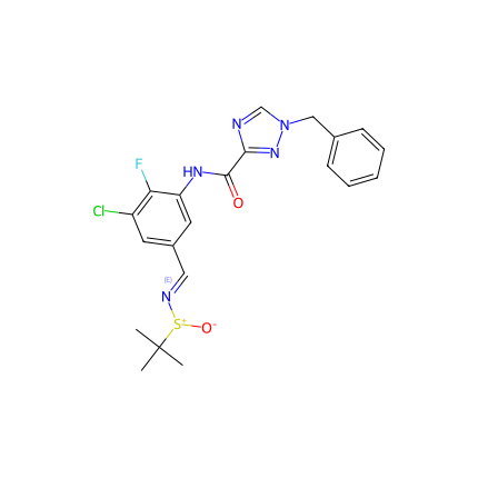 CC(C)(C)[S+]([O-])/N=C/c1cc(Cl)c(F)c(NC(=O)c2ncn(Cc3ccccc3)n2)c1